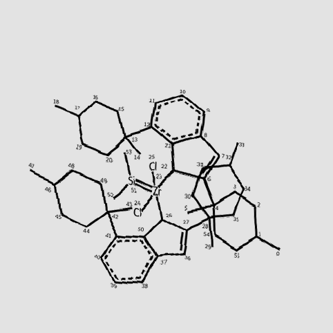 CC1CCC(C)(C2=Cc3cccc(C4(C)CCC(C)CC4)c3[CH]2[Zr]([Cl])([Cl])([CH]2C(C3(C)CCC(C)CC3)=Cc3cccc(C4(C)CCC(C)CC4)c32)=[Si](C)C)CC1